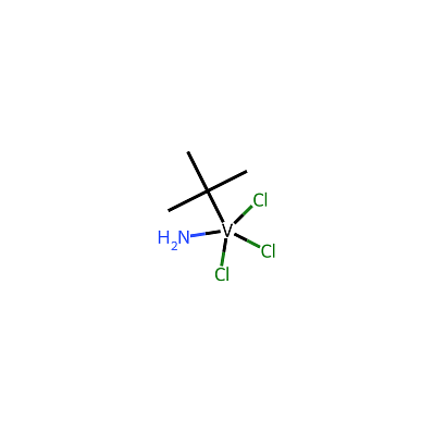 C[C](C)(C)[V]([NH2])([Cl])([Cl])[Cl]